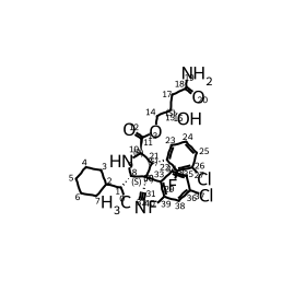 CC(C1CCCCC1)[C@@H]1N[C@@H](C(=O)OC[C@@H](O)CC(N)=O)[C@H](c2cccc(Cl)c2F)[C@@]1(C#N)c1ccc(Cl)cc1F